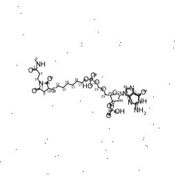 CNC(=O)CCN1C(=O)CC(SCCCCCCOP(=O)(O)OCOC[C@H]2O[C@@H](n3cnc4c(=O)[nH]c(N)nc43)C[C@@H]2O[PH](=O)O)C1=O